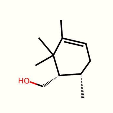 CC1=CC[C@H](C)[C@H](CO)C1(C)C